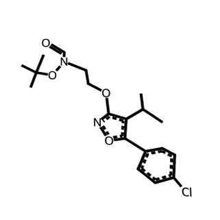 CC(C)c1c(OCCN(C=O)OC(C)(C)C)noc1-c1ccc(Cl)cc1